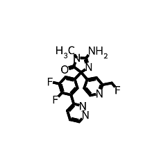 CN1C(=O)C(c2ccnc(CF)c2)(c2cc(F)c(F)c(-c3cccnn3)c2)N=C1N